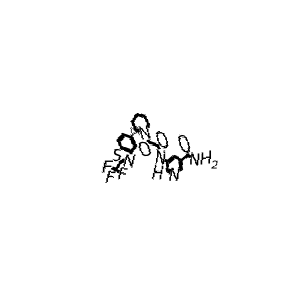 NC(=O)c1cncc(NC(=O)C(=O)N2CCCC[C@H]2c2ccc3sc(C(F)(F)F)nc3c2)c1